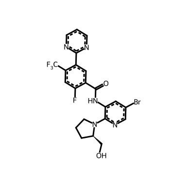 O=C(Nc1cc(Br)cnc1N1CCC[C@@H]1CO)c1cc(-c2ncccn2)c(C(F)(F)F)cc1F